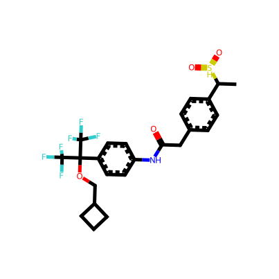 CC(c1ccc(CC(=O)Nc2ccc(C(OCC3CCC3)(C(F)(F)F)C(F)(F)F)cc2)cc1)[SH](=O)=O